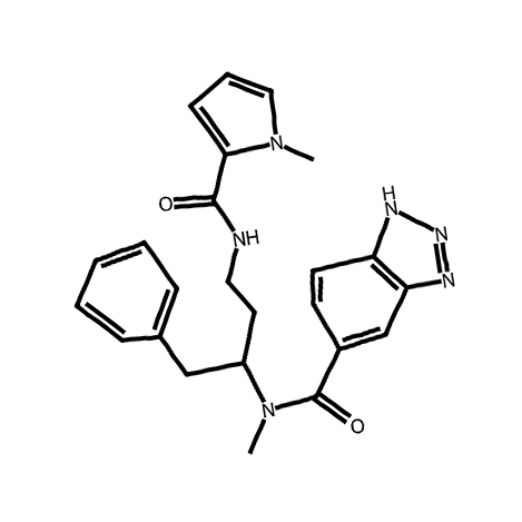 CN(C(=O)c1ccc2[nH]nnc2c1)C(CCNC(=O)c1cccn1C)Cc1ccccc1